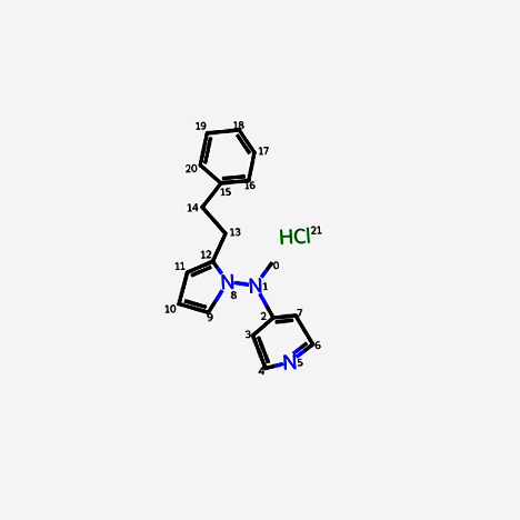 CN(c1ccncc1)n1cccc1CCc1ccccc1.Cl